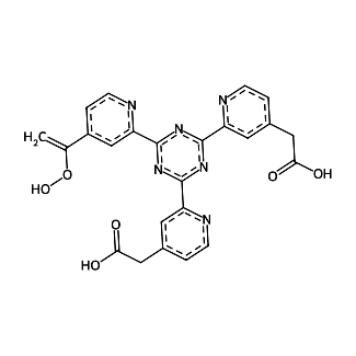 C=C(OO)c1ccnc(-c2nc(-c3cc(CC(=O)O)ccn3)nc(-c3cc(CC(=O)O)ccn3)n2)c1